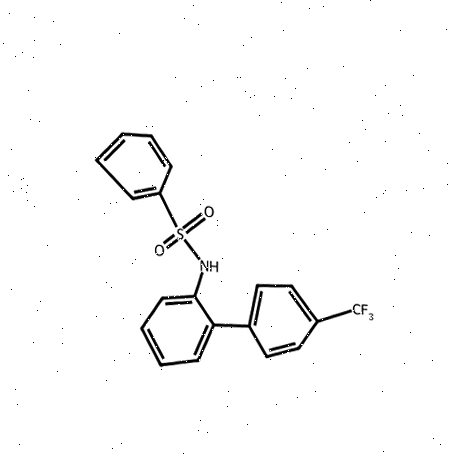 O=S(=O)(Nc1ccccc1-c1ccc(C(F)(F)F)cc1)c1ccccc1